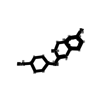 CNC1CCC(NC2=Nc3ccc(Br)cc3CN2)CC1